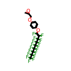 FC(Oc1ccc(OCC2CO2)cc1)=C(F)C(F)(F)C(F)(F)C(F)(F)C(F)(F)C(F)(F)C(F)(F)C(F)(F)F